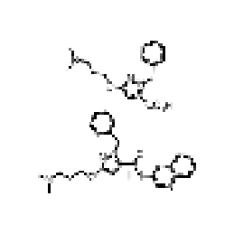 CN(C)CCCOc1cc(C(=O)Nc2cnc3ccccc3c2)n(Cc2ccccc2)n1.CN(C)CCCOc1cc(C(=O)O)n(Cc2ccccc2)n1